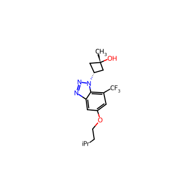 CC(C)CCOc1cc(C(F)(F)F)c2c(c1)nnn2[C@H]1C[C@@](C)(O)C1